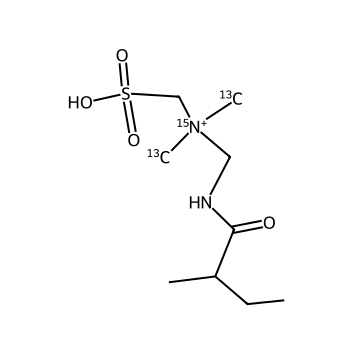 CCC(C)C(=O)NC[15N+]([13CH3])([13CH3])CS(=O)(=O)O